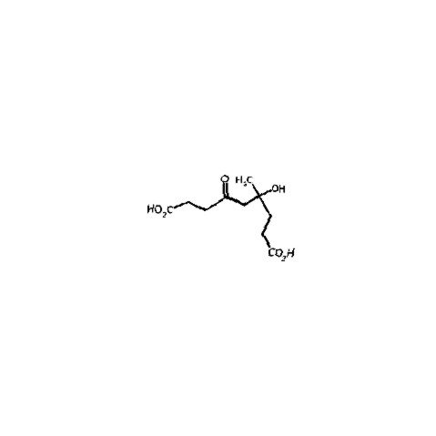 CC(O)(CCC(=O)O)CC(=O)CCC(=O)O